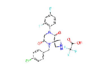 O=C(O)C(F)(F)F.O=C1CN(c2ccc(F)cc2F)C(=O)C2(CNC2)N1Cc1ccc(Cl)cc1